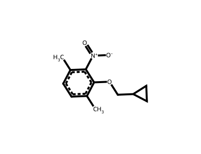 Cc1ccc(C)c([N+](=O)[O-])c1OCC1CC1